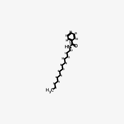 CCCCCCCCCCCCCCNC(=O)c1ccccc1